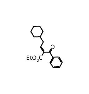 CCOC(=O)C(=CCC1CCCCC1)C(=O)c1ccccc1